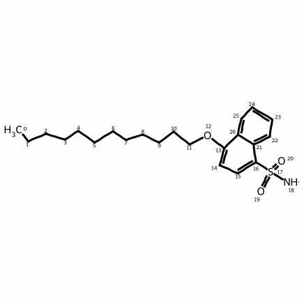 CCCCCCCCCCCCOc1ccc(S([NH])(=O)=O)c2ccccc12